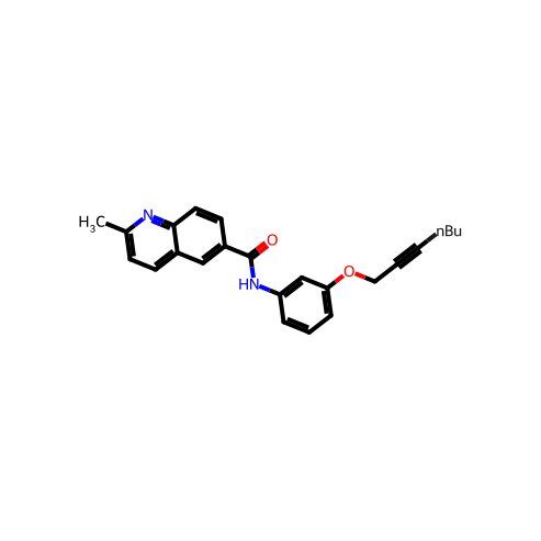 CCCCC#CCOc1cccc(NC(=O)c2ccc3nc(C)ccc3c2)c1